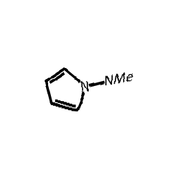 CNn1cccc1